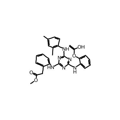 C=C(O)Oc1ccccc1Nc1nc(Nc2ccc(C)cc2C)nc(Nc2ccccc2CC(=O)OC)n1